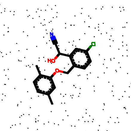 Cc1ccc(C)c(OCc2ccc(Cl)cc2C(O)C#N)c1